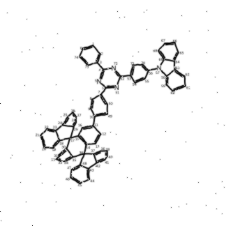 c1ccc(-c2nc(-c3ccc(-c4ccc5c(c4)C4(c6ccccc6-c6ccccc64)c4ccccc4C54c5ccccc5-c5ccccc54)cc3)nc(-c3ccc(-n4c5ccccc5c5ccccc54)cc3)n2)cc1